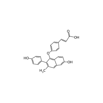 Cc1cc2cc(O)ccc2c(Oc2ccc(C=CC(=O)O)cc2)c1-c1ccc(O)cc1